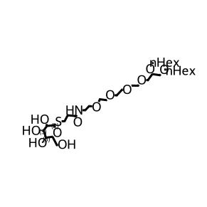 CCCCCCOCC(COCCOCCOCCOCCNC(=O)CCS[C@H]1OC(CO)[C@@H](O)[C@H](O)C1O)OCCCCCC